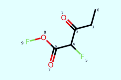 CCC(=O)C(F)C(=O)OF